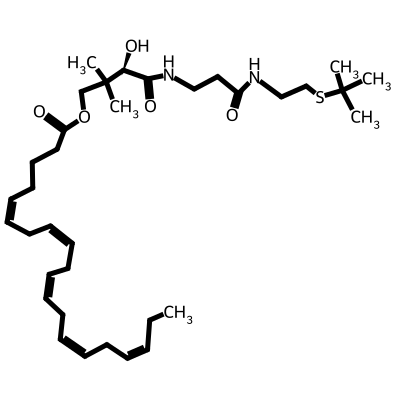 CC/C=C\C/C=C\C/C=C\C/C=C\C/C=C\CCCC(=O)OCC(C)(C)[C@@H](O)C(=O)NCCC(=O)NCCSC(C)(C)C